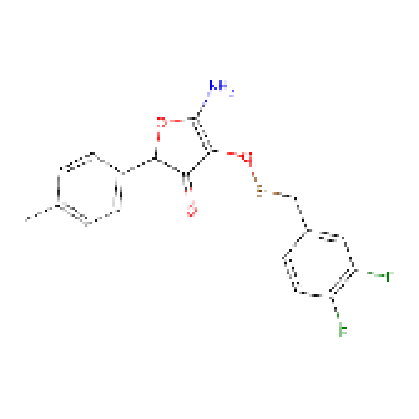 Cc1ccc(C2OC(N)=C(OSCc3ccc(F)c(F)c3)C2=O)cc1